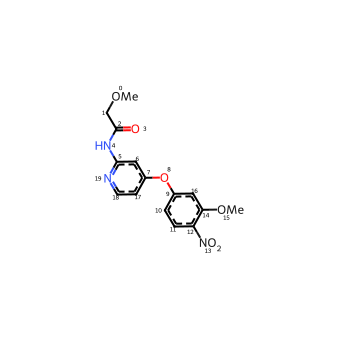 COCC(=O)Nc1cc(Oc2ccc([N+](=O)[O-])c(OC)c2)ccn1